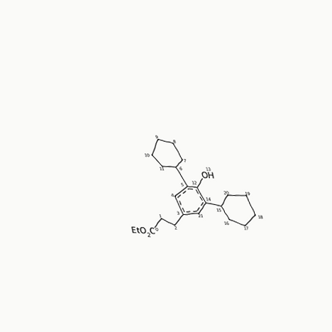 CCOC(=O)CCc1cc(C2CCCCC2)c(O)c(C2CCCCC2)c1